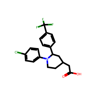 O=C(O)CC1CCN(c2ccc(Cl)cc2)C(c2ccc(C(F)(F)F)cc2)C1